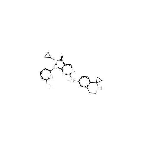 CC(C)(C)c1cccc(-n2c3nc(Nc4ccc5c(c4)CCNC54CC4)ncc3c(=O)n2C2CC2)n1